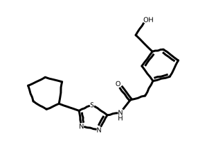 O=C(Cc1cccc(CO)c1)Nc1nnc(C2CCCCC2)s1